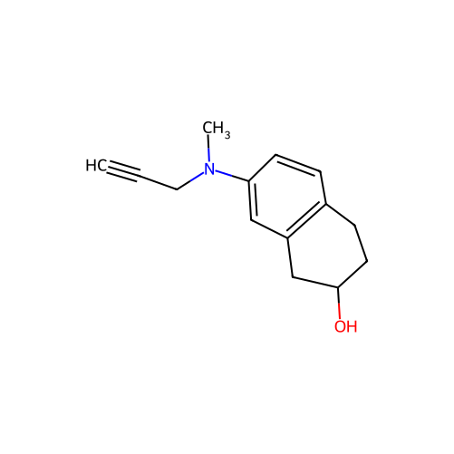 C#CCN(C)c1ccc2c(c1)CC(O)CC2